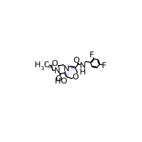 C[C@@H]1CN2C(=O)/C3=C(\O)COC/C(C(=O)NCc4ccc(F)cc4F)=C\N3CC2O1